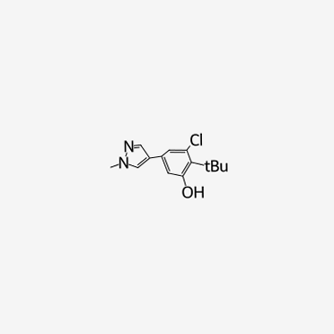 Cn1cc(-c2cc(O)c(C(C)(C)C)c(Cl)c2)cn1